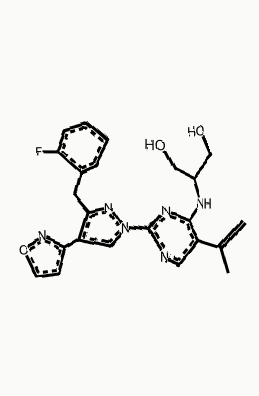 C=C(C)c1cnc(-n2cc(-c3ccon3)c(Cc3ccccc3F)n2)nc1NC(CO)CO